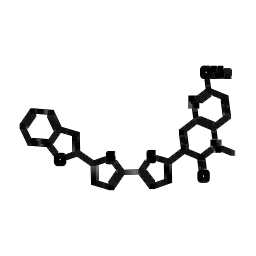 COc1ccc2c(cc(-c3ccc(-c4ccc(-c5cc6ccccc6o5)s4)s3)c(=O)n2C)n1